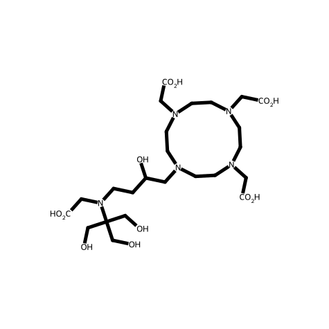 O=C(O)CN1CCN(CC(=O)O)CCN(CC(O)CCN(CC(=O)O)C(CO)(CO)CO)CCN(CC(=O)O)CC1